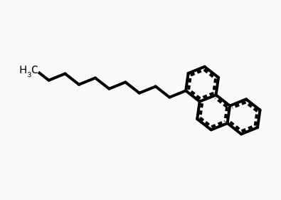 CCCCCCCCCCc1cccc2c1ccc1ccccc12